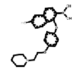 OB(O)c1ccc2cc(O)ccc2c1Oc1ccc(OCCN2CCCCC2)cc1